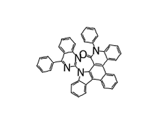 O=c1c2c(c3ccccc3c3c4ccccc4n(-c4nc(-c5ccccc5)c5ccccc5n4)c23)c2ccccc2n1-c1ccccc1